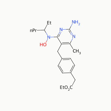 CCCC(CC)N(O)c1nc(N)nc(C)c1Cc1ccc(CC(=O)OCC)cc1